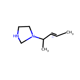 C/C=C/C(C)N1CCNC1